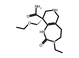 CCOC[C@]1(C(N)=O)CNCC2=C1NC(=O)N(CC)CC2